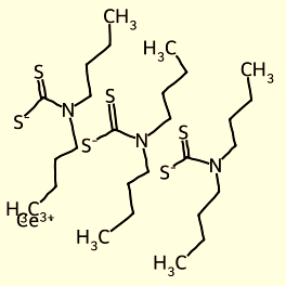 CCCCN(CCCC)C(=S)[S-].CCCCN(CCCC)C(=S)[S-].CCCCN(CCCC)C(=S)[S-].[Ce+3]